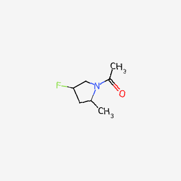 CC(=O)N1CC(F)CC1C